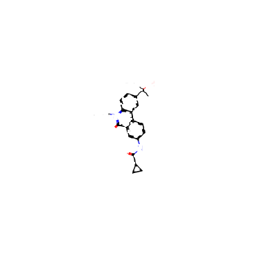 CCCCn1c(=O)c2cc(NC(=O)C3CC3)ccc2c2cc(C(C)(O)C(F)(F)F)ccc21